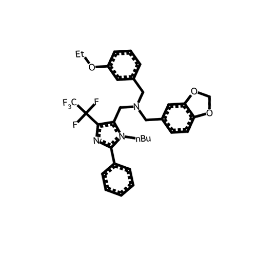 CCCCn1c(-c2ccccc2)nc(C(F)(F)C(F)(F)F)c1CN(Cc1cccc(OCC)c1)Cc1ccc2c(c1)OCO2